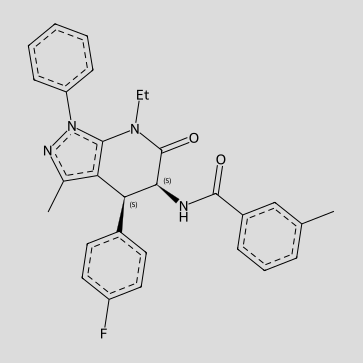 CCN1C(=O)[C@@H](NC(=O)c2cccc(C)c2)[C@@H](c2ccc(F)cc2)c2c(C)nn(-c3ccccc3)c21